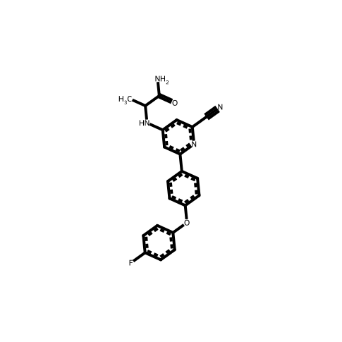 CC(Nc1cc(C#N)nc(-c2ccc(Oc3ccc(F)cc3)cc2)c1)C(N)=O